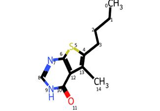 CCCCc1sc2nc[nH]c(=O)c2c1C